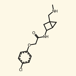 CNCC12CC(NC(=O)COc3ccc(Cl)cc3)C1C2